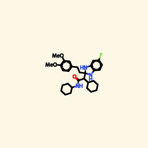 COc1ccc(CCC2(C(C(=O)NC3CCCCC3)C3CCCCC3)Nc3ccc(F)cc3N2)cc1OC